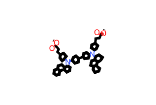 COC(=O)CCc1ccc(N(c2ccc(-c3ccc(N(c4ccc(CCC(=O)OC)cc4)c4cccc5c4ccc4ccccc45)cc3)cc2)c2cccc3c2ccc2ccccc23)cc1